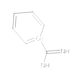 N=[C](N)[Ge]1=[CH]C=CC=[CH]1